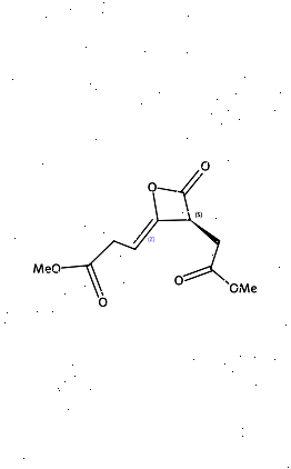 COC(=O)C/C=C1\OC(=O)[C@H]1CC(=O)OC